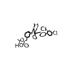 CC(C)OC(Cc1cccc(NC(=O)COc2ccc(Cl)cc2Cl)c1)C(=O)O